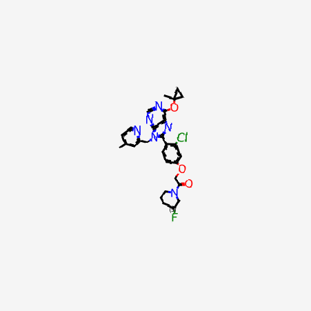 Cc1ccnc(Cn2c(-c3ccc(OCC(=O)N4CCC[C@H](F)C4)cc3Cl)nc3c(OC4(C)CC4)ncnc32)c1